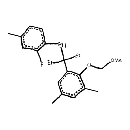 CCC(CC)(Pc1ccc(C)cc1F)c1cc(C)cc(C)c1OCOC